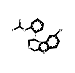 FC(F)Oc1ccccc1[C@H]1COCc2nc3ccc(Br)cc3n21